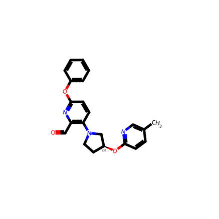 Cc1ccc(O[C@H]2CCN(c3ccc(Oc4ccccc4)nc3C=O)C2)nc1